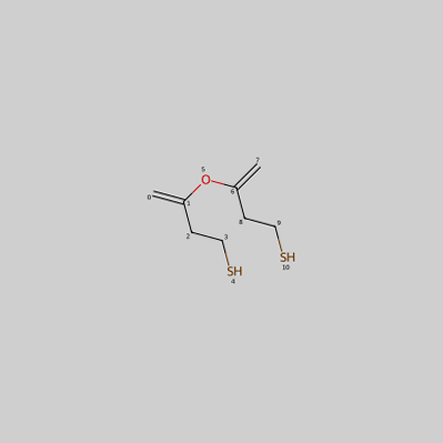 C=C(CCS)OC(=C)CCS